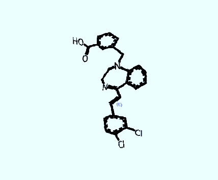 O=C(O)c1cccc(CN2CCN=C(/C=C/c3ccc(Cl)c(Cl)c3)c3ccccc32)c1